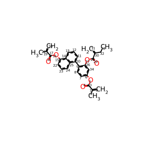 C=C(C)C(=O)Oc1ccc(-c2cccc3c(OC(=O)C(=C)C)cccc23)c(OC(=O)C(=C)CC)c1